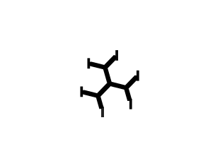 IC(I)C(C(I)I)C(I)I